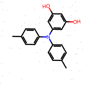 Cc1ccc(N(c2ccc(C)cc2)c2cc(O)cc(O)c2)cc1